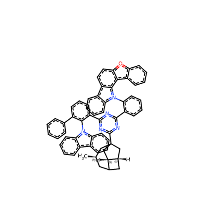 C[C@@H]1CC2C[C@H]3CC(c4nc(-c5ccccc5-n5c6ccccc6c6ccc7oc8ccccc8c7c65)nc(-c5cccc(-c6ccccc6)c5-n5c6ccccc6c6ccccc65)n4)(C1)C[C@@H]23